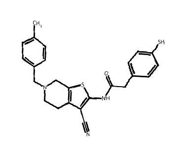 Cc1ccc(CN2CCc3c(sc(NC(=O)Cc4ccc(S)cc4)c3C#N)C2)cc1